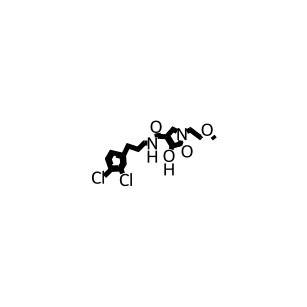 COCCN1CC(C(=O)NCCCc2ccc(Cl)c(Cl)c2)=C(O)C1=O